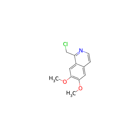 COc1cc2ccnc(CCl)c2cc1OC